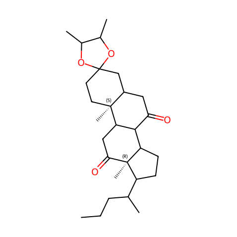 CCCC(C)C1CCC2C3C(=O)CC4CC5(CC[C@]4(C)C3CC(=O)[C@]12C)OC(C)C(C)O5